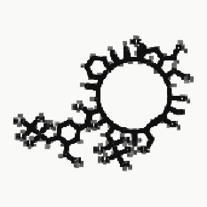 CCC1/C=C(\C)C(O)C(C)CC(OC)C2OC(O)(C(=O)C(=O)N3CCCCC3C(=O)OC(C(C)=CC3CCC(O[Si](C)(C)C(C)(C)C)C(OC)C3)C(C)C(O[Si](C)(C)C(C)(C)C)CC1=O)C(C)CC2OC